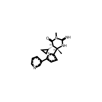 CN1C(=N)N[C@](C)(c2ccc(-c3cccnc3)s2)[C@H](C2CC2)C1=O